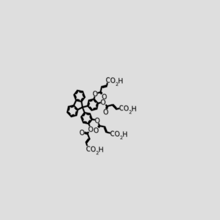 O=C(O)C=CC(=O)Oc1ccc(C2(c3ccc(OC(=O)C=CC(=O)O)c(OC(=O)C=CC(=O)O)c3)c3ccccc3-c3ccccc32)cc1OC(=O)C=CC(=O)O